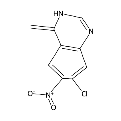 C=C1NC=Nc2cc(Cl)c([N+](=O)[O-])cc21